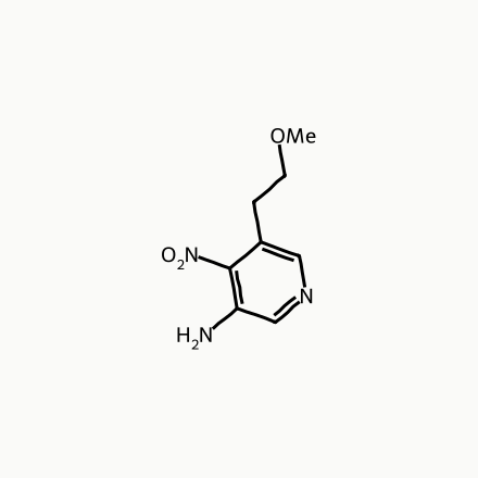 COCCc1cncc(N)c1[N+](=O)[O-]